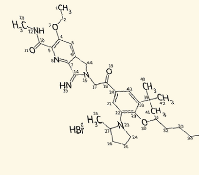 Br.CCOc1cc2c(nc1C(=O)NC)C(=N)N(CC(=O)c1cc(N3CCCC3C)c(OCCCCC(=O)O)c(C(C)(C)C)c1)C2